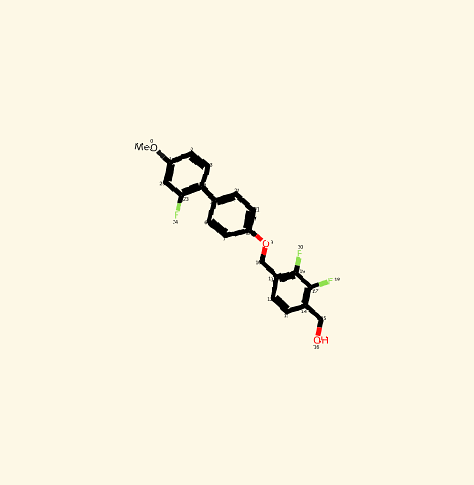 COc1ccc(-c2ccc(OCc3ccc(CO)c(F)c3F)cc2)c(F)c1